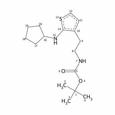 CC(C)(C)OC(=O)NCCc1ccsc1NC1CCCC1